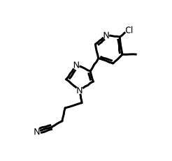 Cc1cc(-c2cn(CCCC#N)cn2)cnc1Cl